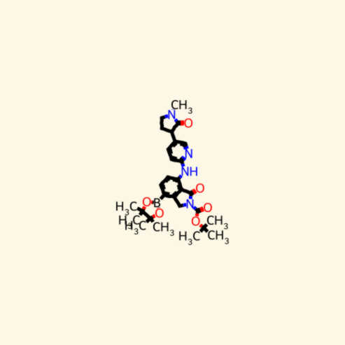 CN1CCC(c2ccc(Nc3ccc(B4OC(C)(C)C(C)(C)O4)c4c3C(=O)N(C(=O)OC(C)(C)C)C4)nc2)C1=O